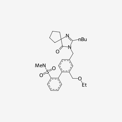 CCCCC1=NC2(CCCC2)C(=O)N1Cc1ccc(-c2ccccc2S(=O)(=O)NC)c(COCC)c1